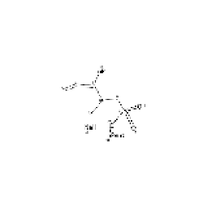 C=C=C(CCC)C(C)CS(=O)(=O)OCCCCC.[NaH]